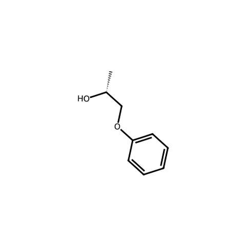 C[C@@H](O)COc1ccccc1